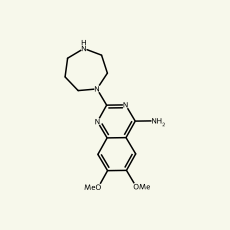 COc1cc2nc(N3CCCNCC3)nc(N)c2cc1OC